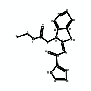 CCOC(=O)CN1/C(=C\C(=O)c2ccco2)Sc2ccccc21